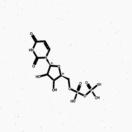 O=c1ccn([C@H]2O[C@@H](COP(=O)(O)OP(=O)(O)S)C(O)C2O)c(=O)[nH]1